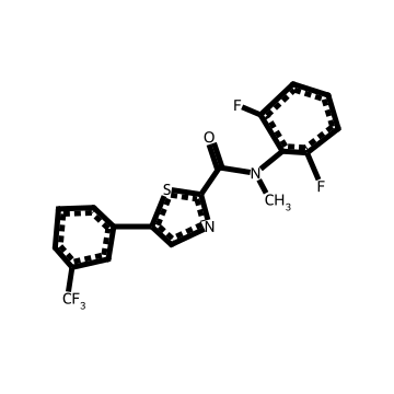 CN(C(=O)c1ncc(-c2cccc(C(F)(F)F)c2)s1)c1c(F)cccc1F